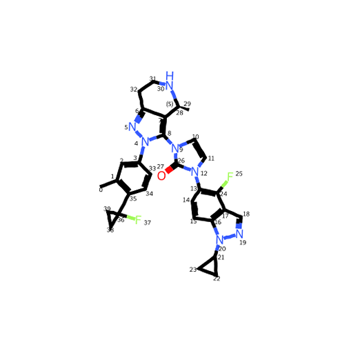 Cc1cc(-n2nc3c(c2-n2ccn(-c4ccc5c(cnn5C5CC5)c4F)c2=O)[C@H](C)NCC3)ccc1C1(F)CC1